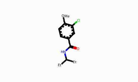 CCC(CC)NC(=O)c1ccc(OC)c(Cl)c1